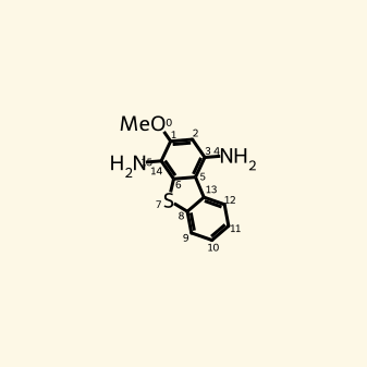 COc1cc(N)c2c(sc3ccccc32)c1N